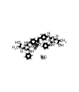 CC(CO)Nc1nc(NC2=CC(S(=O)(=O)[O-])(S(=O)(=O)[O-])C(C=Cc3ccc(Nc4nc(Nc5ccccc5)nc(NC(C)CO)n4)cc3)C=C2)nc(Nc2ccccc2)n1.[Na+].[Na+]